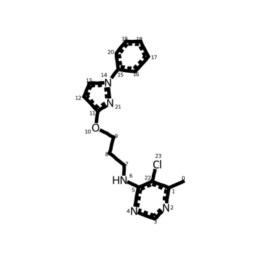 Cc1ncnc(NCCCOc2ccn(-c3ccccc3)n2)c1Cl